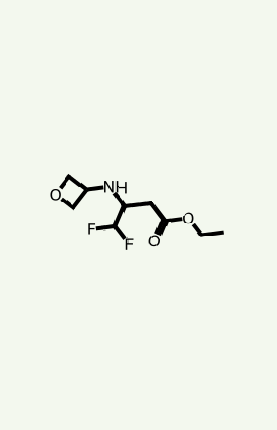 CCOC(=O)CC(NC1COC1)C(F)F